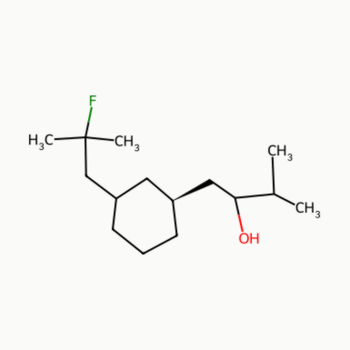 CC(C)C(O)C[C@H]1CCCC(CC(C)(C)F)C1